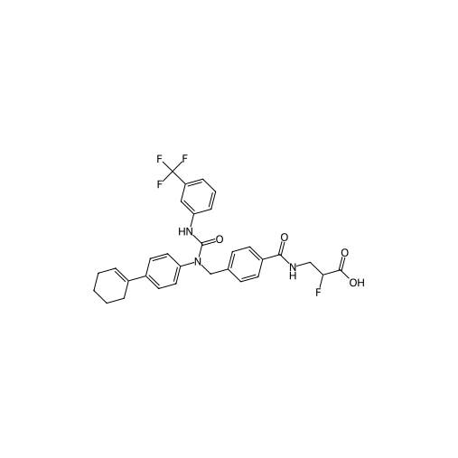 O=C(NCC(F)C(=O)O)c1ccc(CN(C(=O)Nc2cccc(C(F)(F)F)c2)c2ccc(C3=CCCCC3)cc2)cc1